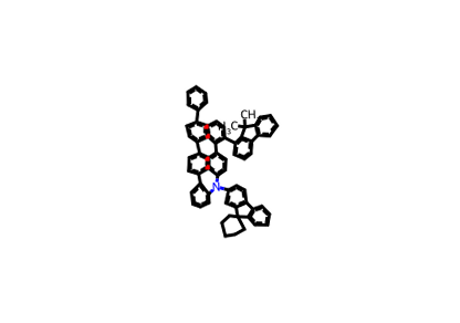 CC1(C)c2ccccc2-c2cccc(-c3ccccc3-c3ccc(N(c4ccc5c(c4)C4(CCCCC4)c4ccccc4-5)c4ccccc4-c4ccc(-c5ccc(-c6ccccc6)cc5)cc4)cc3)c21